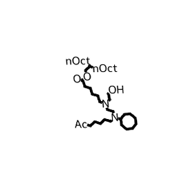 CCCCCCCCC(CCCCCCCC)COC(=O)CCCCCN(CCO)CCN(CCCCCC(C)=O)C1CCCCCCC1